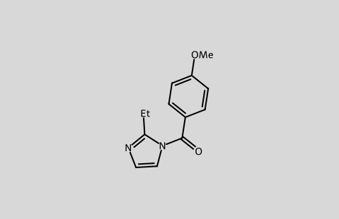 CCc1nccn1C(=O)c1ccc(OC)cc1